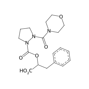 O=C(O)C(Cc1ccccc1)OC(=O)N1CCCN1C(=O)N1CCOCC1